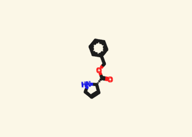 O=C(OCc1ccccc1)[C@@H]1C=CCN1